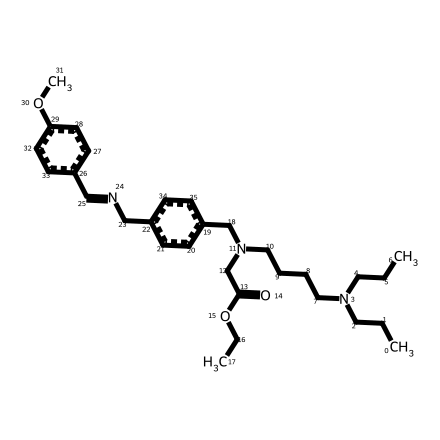 CCCN(CCC)CCCCN(CC(=O)OCC)Cc1ccc(CN=Cc2ccc(OC)cc2)cc1